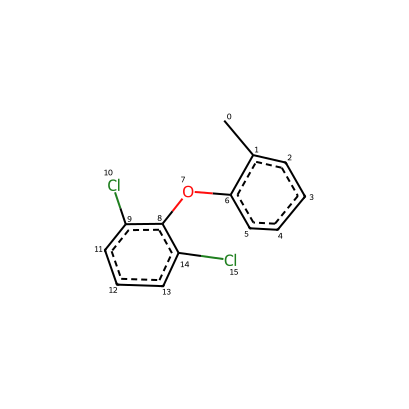 Cc1ccccc1Oc1c(Cl)cccc1Cl